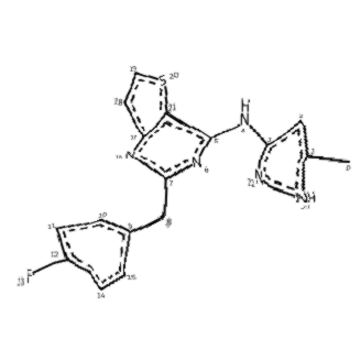 Cc1cc(Nc2nc(Cc3ccc(F)cc3)nc3ccsc23)n[nH]1